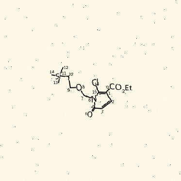 CCOC(=O)c1ccc(=O)n(COCC[Si](C)(C)C)c1Cl